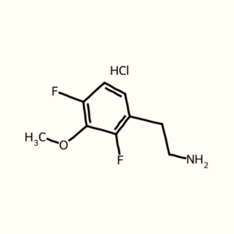 COc1c(F)ccc(CCN)c1F.Cl